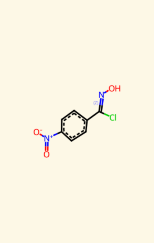 O=[N+]([O-])c1ccc(/C(Cl)=N/O)cc1